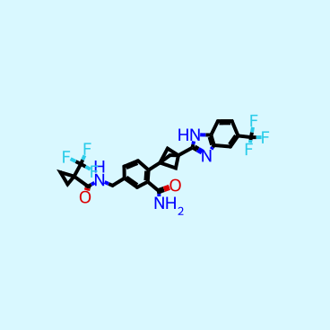 NC(=O)c1cc(CNC(=O)C2(C(F)(F)F)CC2)ccc1C12CC(c3nc4cc(C(F)(F)F)ccc4[nH]3)(C1)C2